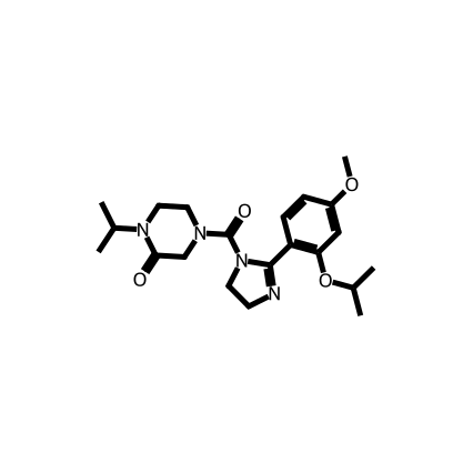 COc1ccc(C2=NCCN2C(=O)N2CCN(C(C)C)C(=O)C2)c(OC(C)C)c1